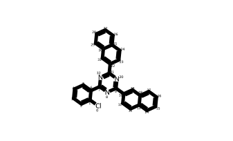 Clc1ccccc1-c1nc(-c2ccc3ccccc3c2)nc(-c2ccc3ccccc3c2)n1